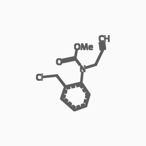 C#CCN(C(=O)OC)c1ccccc1CCl